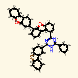 c1ccc(C2=NC(c3cccc4oc5c(-c6ccc7c(c6)oc6ccccc67)cccc5c34)=NC(c3ccc4sc5ccccc5c4c3)N2)cc1